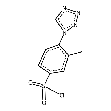 Cc1cc(S(=O)(=O)Cl)ccc1-n1cnnn1